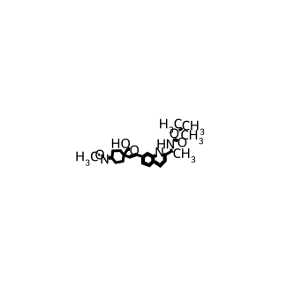 CON=C1CCC(/C=C/c2ccc3ccc([C@@H](C)NC(=O)OC(C)(C)C)nc3c2)(C(=O)O)CC1